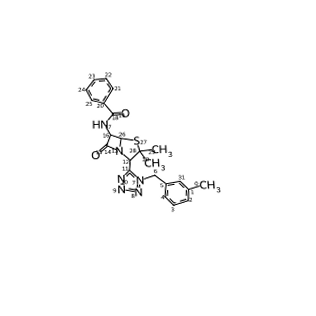 Cc1cccc(Cn2nnnc2C2N3C(=O)C(NC(=O)c4ccccc4)C3SC2(C)C)c1